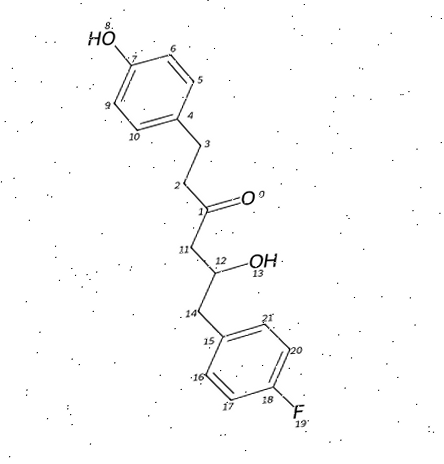 O=C(CCc1ccc(O)cc1)CC(O)Cc1ccc(F)cc1